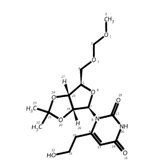 COCOC[C@H]1O[C@@H](n2c(CCO)cc(=O)[nH]c2=O)[C@@H]2OC(C)(C)O[C@@H]21